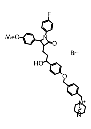 COc1ccc(C2C(CCC(O)c3ccc(OCc4ccc(C[N+]56CCN(CC5)CC6)cc4)cc3)C(=O)N2c2ccc(F)cc2)cc1.[Br-]